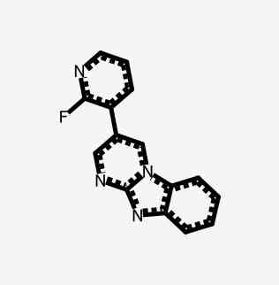 Fc1ncccc1-c1cnc2nc3ccccc3n2c1